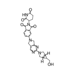 O=C1CCC(N2C(=O)c3ccc(N4Cc5cnc(N6C[C@@H]7C(CO)[C@@H]7C6)nc5C4)cc3C2=O)C(=O)N1